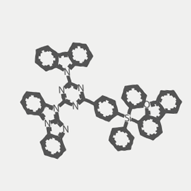 c1ccc([Si](c2ccccc2)(c2ccc(-c3nc(-n4c5ccccc5c5ccccc54)nc(-n4c5ccccc5n5c6ccccc6nc45)n3)cc2)c2cccc3c2oc2ccccc23)cc1